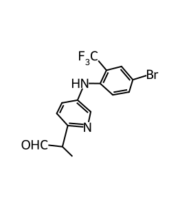 CC(C=O)c1ccc(Nc2ccc(Br)cc2C(F)(F)F)cn1